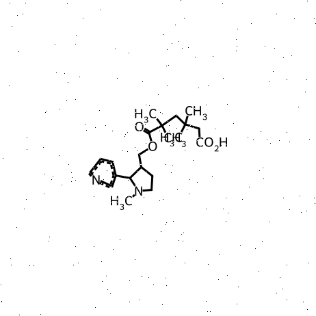 CN1CCC(COC(=O)C(C)(C)CC(C)(C)CC(=O)O)C1c1cccnc1